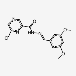 COc1cc(C=NNC(=O)c2cncc(Cl)n2)cc(OC)c1